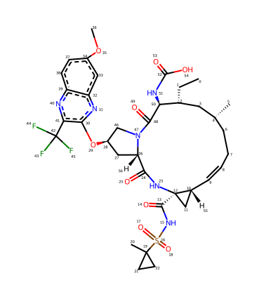 CC[C@@H]1C[C@H](C)CC/C=C\[C@@H]2C[C@@]2(C(=O)NS(=O)(=O)C2(C)CC2)NC(=O)[C@@H]2C[C@@H](Oc3nc4cc(OC)ccc4nc3C(F)(F)F)CN2C(=O)[C@H]1NC(=O)O